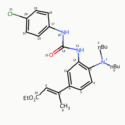 CCCCN(CCCC)c1ccc(/C(C)=C/C(=O)OCC)cc1NC(=O)Nc1ccc(Cl)cc1